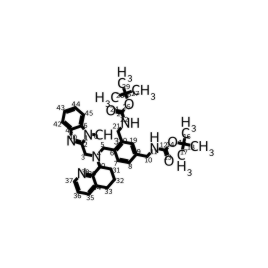 Cn1c(CN(Cc2ccc(CNC(=O)OC(C)(C)C)cc2CNC(=O)OC(C)(C)C)C2CCCc3cccnc32)nc2ccccc21